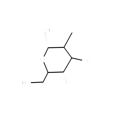 CC1C(O)[C@H](C)C(CO)O[C@@H]1O